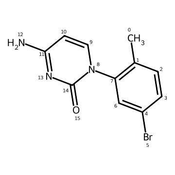 Cc1ccc(Br)cc1-n1ccc(N)nc1=O